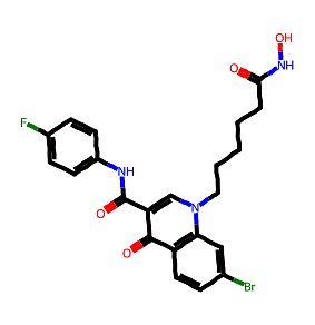 O=C(CCCCCn1cc(C(=O)Nc2ccc(F)cc2)c(=O)c2ccc(Br)cc21)NO